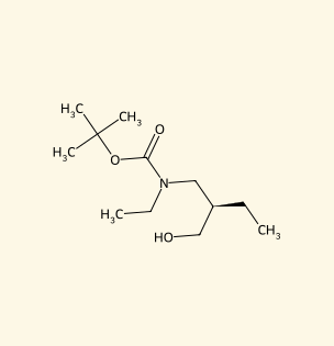 CC[C@@H](CO)CN(CC)C(=O)OC(C)(C)C